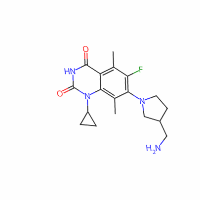 Cc1c(F)c(N2CCC(CN)C2)c(C)c2c1c(=O)[nH]c(=O)n2C1CC1